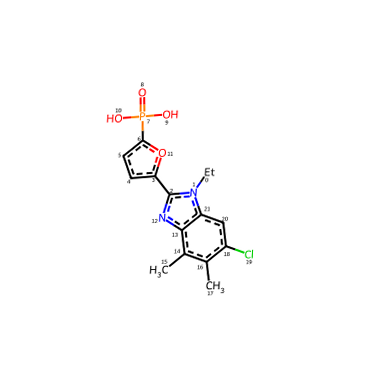 CCn1c(-c2ccc(P(=O)(O)O)o2)nc2c(C)c(C)c(Cl)cc21